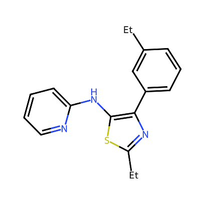 CCc1cccc(-c2nc(CC)sc2Nc2ccccn2)c1